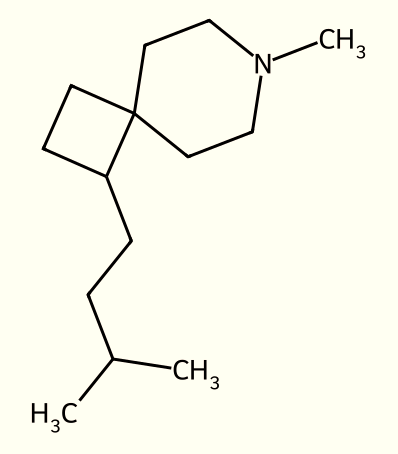 CC(C)CCC1CCC12CCN(C)CC2